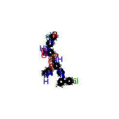 CC1(C)CCC(CN2CCN(c3ccc(C(=O)NS(=O)(=O)c4ccc(NC5CCN([C@H]6CCOC[C@H]6F)CC5)c([N+](=O)[O-])c4)c(Oc4cnc5[nH]ccc5c4)c3)CC2)=C(c2ccc(Cl)cc2)C1